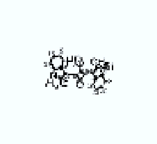 CCn1c(C)c(C2=C(O)/C(=C3/C(C)=Nc4ccccc43)C2=O)c2ccccc21